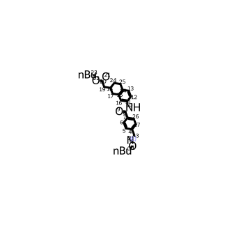 CCCCO/N=C/c1ccc(C(=O)Nc2ccc3c(c2)CC(CC(=O)OCCCC)CC3)cc1